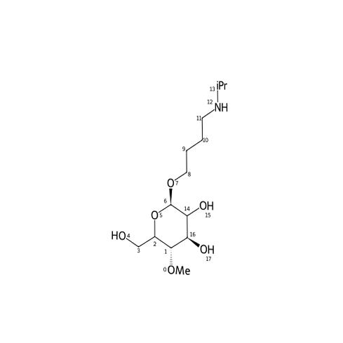 CO[C@@H]1C(CO)O[C@@H](OCCCCNC(C)C)C(O)[C@H]1O